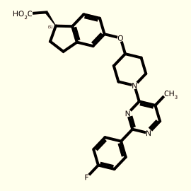 Cc1cnc(-c2ccc(F)cc2)nc1N1CCC(Oc2ccc3c(c2)CC[C@H]3CC(=O)O)CC1